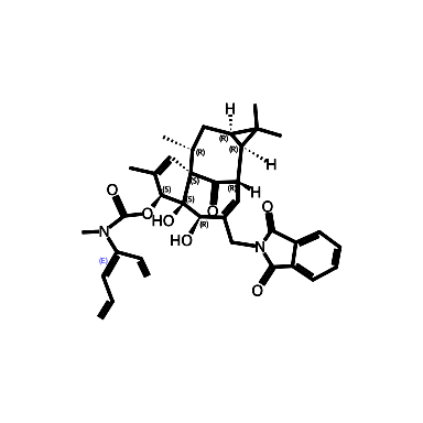 C=C/C=C(\C=C)N(C)C(=O)O[C@H]1C(C)=C[C@]23C(=O)[C@@H](C=C(CN4C(=O)c5ccccc5C4=O)[C@@H](O)[C@]12O)[C@H]1[C@@H](C[C@H]3C)C1(C)C